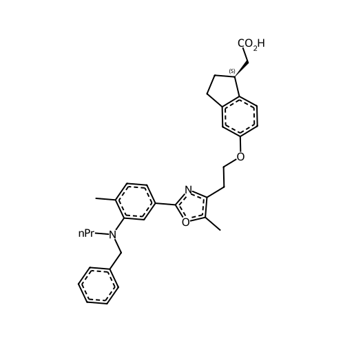 CCCN(Cc1ccccc1)c1cc(-c2nc(CCOc3ccc4c(c3)CC[C@H]4CC(=O)O)c(C)o2)ccc1C